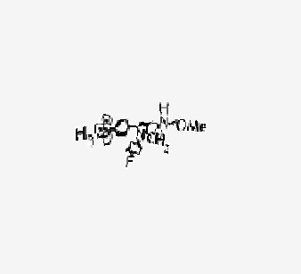 COCCNC(=O)Cc1cc(-c2ccc(S(C)(=O)=O)cc2)n(-c2ccc(F)cc2)c1C